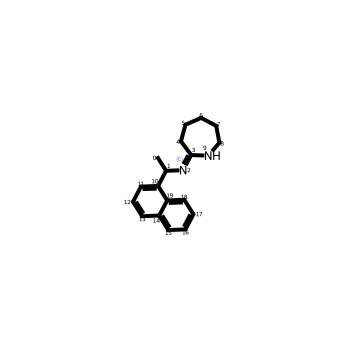 CC(/N=C1\CCCCCN1)c1cccc2ccccc12